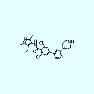 CCc1c(N[S+]([O-])c2c(Cl)cc(-c3ccnc(N4CCNCC4)c3)cc2Cl)c(C)nn1C